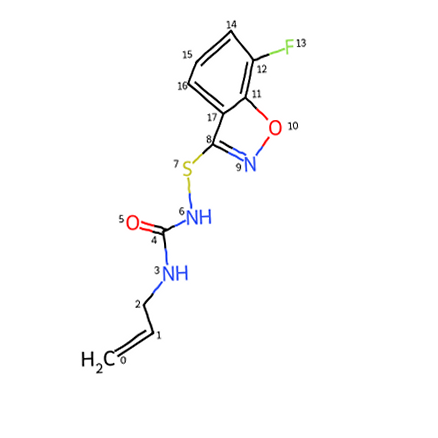 C=CCNC(=O)NSc1noc2c(F)cccc12